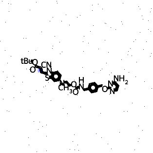 CN(CCOC(=O)NCc1ccc(COc2nccc(N)n2)cc1)c1ccc2nc(/C=C(\C#N)C(=O)OC(C)(C)C)sc2c1